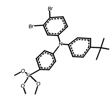 CO[Si](OC)(OC)c1ccc(N(c2ccc(C(C)(C)C)cc2)c2ccc(Br)c(Br)c2)cc1